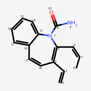 C=CC1=C(/C=C\C)N(C(N)=O)c2ccccc2C=C1